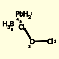 B.ClOCl.[PbH2]